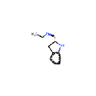 CC/N=C\[C@H]1Cc2ccccc2N1